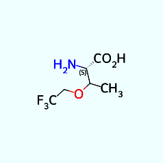 CC(OCC(F)(F)F)[C@H](N)C(=O)O